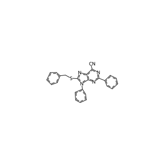 N#Cc1nc(-c2ccccc2)nc2c1nc(SCc1ccccc1)n2-c1ccccc1